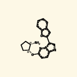 N[C@H]1CCC[C@H]1Oc1ccc2ncc(-c3cc4ccccc4o3)n2n1